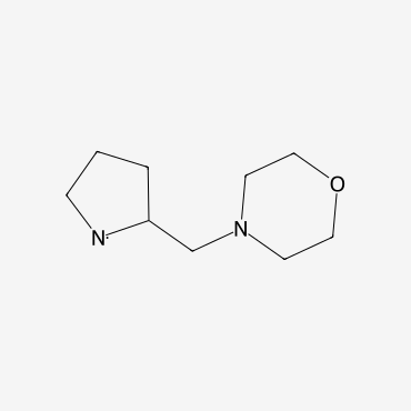 C1C[N]C(CN2CCOCC2)C1